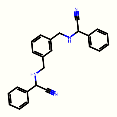 N#CC(NCc1cccc(CNC(C#N)c2ccccc2)c1)c1ccccc1